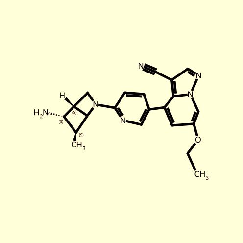 CCOc1cc(-c2ccc(N3C[C@@H]4C3[C@@H](C)[C@@H]4N)nc2)c2c(C#N)cnn2c1